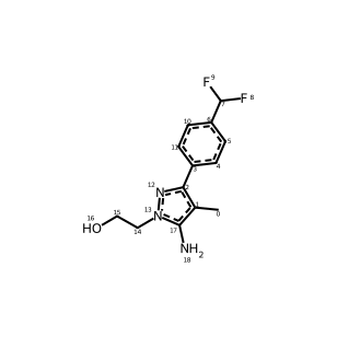 Cc1c(-c2ccc(C(F)F)cc2)nn(CCO)c1N